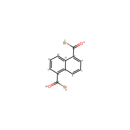 O=C(Br)c1cccc2c(C(=O)Br)cccc12